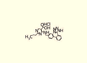 CCCc1ncc(C(=O)O)c(NCc2ccc(-c3ccccc3-c3nnn[nH]3)cc2)n1.Cl